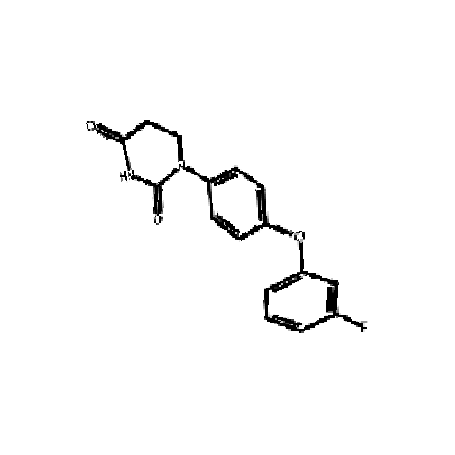 O=C1CCN(c2ccc(Oc3cccc(F)c3)cc2)C(=O)N1